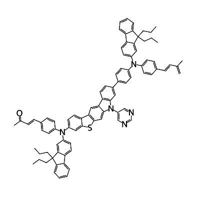 C=C(C)/C=C/c1ccc(N(c2ccc(-c3ccc4c5cc6c(cc5n(-c5cncnc5)c4c3)sc3cc(N(c4ccc(/C=C/C(C)=O)cc4)c4ccc5c(c4)C(CCC)(CCC)c4ccccc4-5)ccc36)cc2)c2ccc3c(c2)C(CCC)(CCC)c2ccccc2-3)cc1